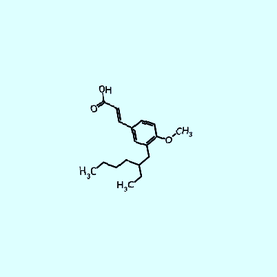 CCCCC(CC)Cc1cc(C=CC(=O)O)ccc1OC